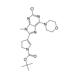 Cn1c(C2=CN(C(=O)OC(C)(C)C)CC2)nc2c(N3CCOCC3)nc(Cl)nc21